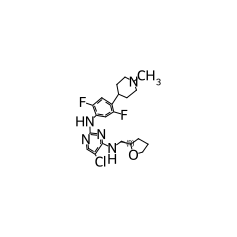 CN1CCC(c2cc(F)c(Nc3ncc(Cl)c(NC[C@H]4CCCO4)n3)cc2F)CC1